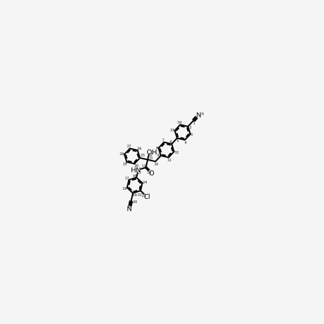 N#Cc1ccc(-c2ccc(CC(O)(C(=O)Nc3ccc(C#N)c(Cl)c3)c3ccccc3)cc2)cc1